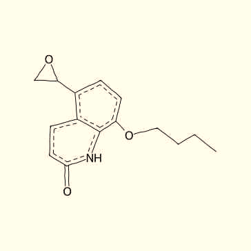 CCCCOc1ccc(C2CO2)c2ccc(=O)[nH]c12